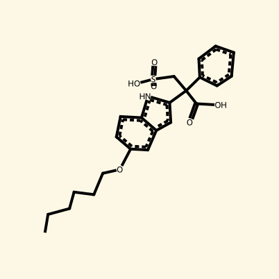 CCCCCCOc1ccc2[nH]c(C(CS(=O)(=O)O)(C(=O)O)c3ccccc3)cc2c1